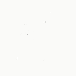 CN1C(=O)C(CCN2CCOCC2)O[C@H](c2ccc(Cl)cc2)C1c1ccc(Cl)cc1